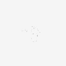 CCc1nc(NC)c2ccccc2n1